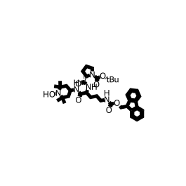 CC(C)(C)OC(=O)N1CCC[C@H]1C(=O)NC(CCCNC(=O)OCC1c2ccccc2-c2ccccc21)C(=O)NC1CC(C)(C)N(O)C(C)(C)C1